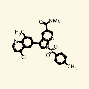 CNC(=O)c1cnc2c(c1)c(-c1cc(C)c3nccc(Cl)c3c1)cn2S(=O)(=O)c1ccc(C)cc1